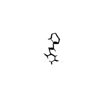 N=C1C(=O)NC(=O)c2cc(-c3ccccc3F)sc21